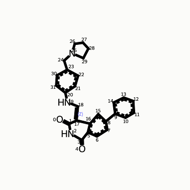 O=C1NC(=O)c2ccc(-c3ccccc3)cc2/C1=C/Nc1ccc(CN2CCCC2)cc1